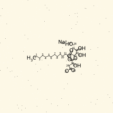 CCCCCCCCCCCCOC1O[C@H](CO)[C@@H](O)[C@H](O)[C@H]1OC(=O)C(O)CC(=O)[O-].[Na+]